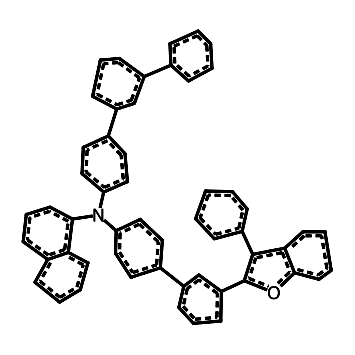 c1ccc(-c2cccc(-c3ccc(N(c4ccc(-c5cccc(-c6oc7ccccc7c6-c6ccccc6)c5)cc4)c4cccc5ccccc45)cc3)c2)cc1